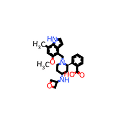 COc1cc(C)c2[nH]ccc2c1CN1CC[C@H](NC2COC2)C[C@@H]1c1ccccc1C(=O)O